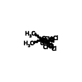 CCCCCCN(CCCCCC)C(=O)C(=O)c1nn(-c2ccc(Cl)cc2Cl)c(-c2ccc(Cl)cc2)c1C